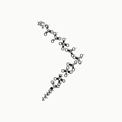 O=P([O-])([O-])[O-].O=P([O-])([O-])[O-].O=P([O-])([O-])[O-].[O-]B([O-])[O-].[O-]B([O-])[O-].[O-]B([O-])[O-].[O]=[V](=[O])[O-].[O]=[V](=[O])[O-].[O]=[V](=[O])[O-].[Y+3].[Y+3].[Y+3].[Y+3].[Y+3].[Y+3].[Y+3]